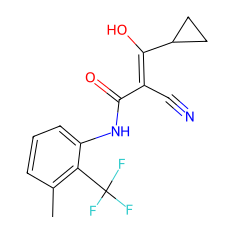 Cc1cccc(NC(=O)/C(C#N)=C(\O)C2CC2)c1C(F)(F)F